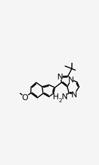 COc1ccc2cc(-c3nc(C(C)(C)C)n4ccnc(N)c34)ccc2c1